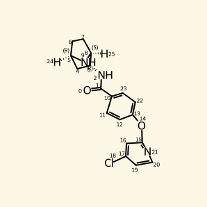 O=C(N[C@@H]1C[C@H]2CC[C@@H]1N2)c1ccc(Oc2cc(Cl)ccn2)cc1